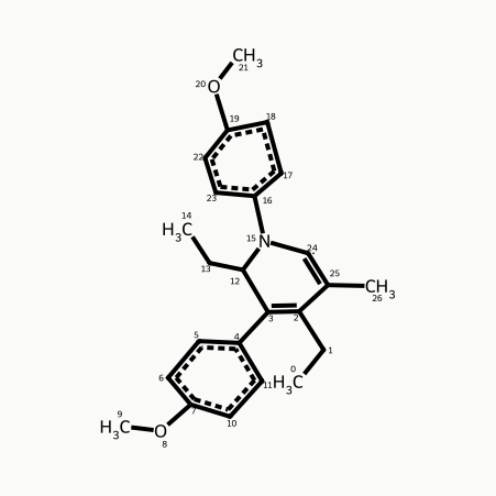 CCC1=C(c2ccc(OC)cc2)C(CC)N(c2ccc(OC)cc2)[C]=C1C